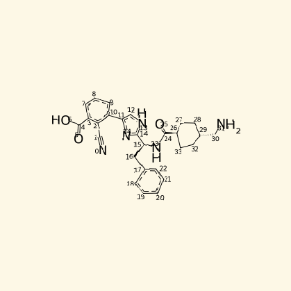 N#Cc1c(C(=O)O)cccc1-c1c[nH]c([C@H](Cc2ccccc2)NC(=O)[C@H]2CC[C@H](CN)CC2)n1